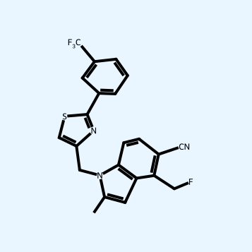 Cc1cc2c(CF)c(C#N)ccc2n1Cc1csc(-c2cccc(C(F)(F)F)c2)n1